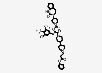 Nc1c(Cl)cc(C[C@@H](OC(=O)N2CCC(N3CCc4ccccc4NC3=O)CC2)C(=O)N2CCC(C3CCN(CCC(=O)Oc4ccccc4)CC3)CC2)cc1C(F)(F)F